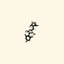 Cc1cc(C)c(C2C(=O)C/C(=C\c3c(C)noc3C)C2=O)c(C)c1